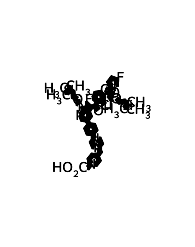 C[Si](C)(C)CCOCN(c1ccc(F)c(C(=O)c2cn(COCC[Si](C)(C)C)c3ncc(-c4ccc(N5CCN(CC6CCN(CC(=O)O)CC6)CC5)cc4)cc23)c1Cl)S(=O)(=O)N1CC[C@@H](F)C1